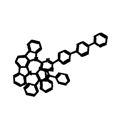 c1ccc(-c2ccc(-c3ccc(-c4nc(-c5ccccc5)nc(-n5c6ccccc6c6ccc7c8ccccc8n(-c8ccc(-c9ccccc9)cc8-c8ccccc8)c7c65)n4)cc3)cc2)cc1